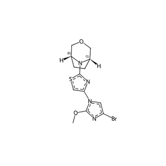 COc1nc(Br)cn1-c1csc(N2[C@@H]3CC[C@H]2COC3)n1